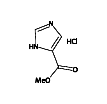 COC(=O)c1cnc[nH]1.Cl